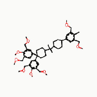 COCc1cc(C2CCC(C(C)(C)C3CCC(c4cc(COC)c(OC)c(COC)c4)(c4cc(COC)c(OC)c(COC)c4)CC3)CC2)cc(COC)c1C